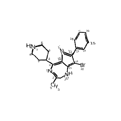 Cc1nc(C2CCNCC2)c2nc(-c3ccccc3)c(Br)c-2[nH]1